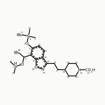 C[SiH](C)OC(c1c(O[Si](C)(C)C(C)(C)C)ccc2c(CCC3CCN(C(=O)O)CC3)noc12)C(C)(C)C